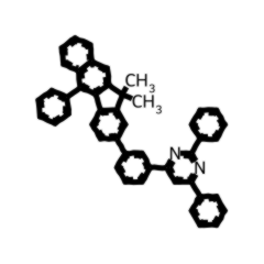 CC1(C)c2cc(-c3cccc(-c4cc(-c5ccccc5)nc(-c5ccccc5)n4)c3)ccc2-c2c1cc1ccccc1c2-c1ccccc1